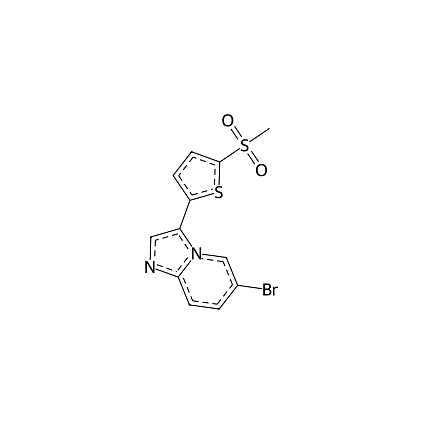 CS(=O)(=O)c1ccc(-c2cnc3ccc(Br)cn23)s1